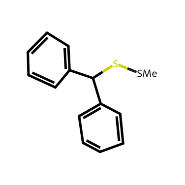 CSSC(c1ccccc1)c1ccccc1